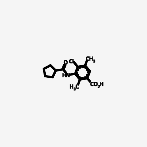 Cc1cc(C(=O)O)c(C)c(NC(=O)C2CCCC2)c1Cl